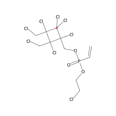 C=CP(=O)(OCCCl)OCC(Cl)(CCl)C(Cl)(CCl)C(Cl)(CCl)CCl